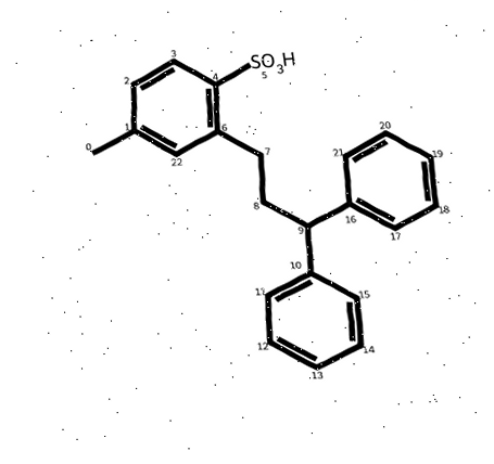 Cc1ccc(S(=O)(=O)O)c(CCC(c2ccccc2)c2ccccc2)c1